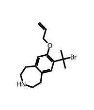 C=CCOc1cc2c(cc1C(C)(C)Br)CCNCC2